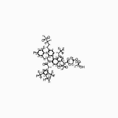 CC(C)(CCc1ccc(-c2ccc(Cl)c3c(N(C(=O)O[C@@H](CC(=O)O)C(=O)O)S(C)(=O)=O)nn(CC(F)(F)F)c23)c([C@H](Cc2cc(F)cc(F)c2)NC(=O)Cn2nc(C(F)(F)F)c3c2C(F)(F)C2C[C@H]32)n1)S(C)(=O)=O